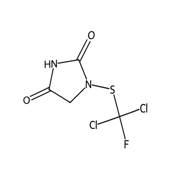 O=C1CN(SC(F)(Cl)Cl)C(=O)N1